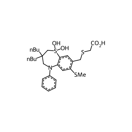 CCCCC1(CCCC)CN(c2ccccc2)c2cc(SC)c(CSCC(=O)O)cc2S(O)(O)C1